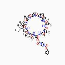 C/C=C/C[C@@H](C)[C@@H](OC(C)=O)[C@H]1C(=O)N[C@@H](CC)C(=O)N(C)[C@H](C)C(=O)N[C@@H]([C@H](C)COCC(=O)N2CCN(C(=O)OCc3ccccc3)CC2)C(=O)N[C@@H](C(C)C)C(=O)N(C)[C@@H](CC(C)C)C(=O)N[C@@H](C)C(=O)N[C@H](C)C(=O)N(C)[C@@H](CC(C)C)C(=O)N(C)[C@@H](CC(C)C)C(=O)N(C)[C@@H](C(C)C)C(=O)N1C